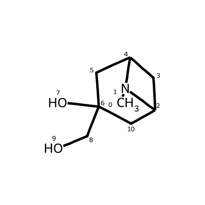 CN1C2CC1CC(O)(CO)C2